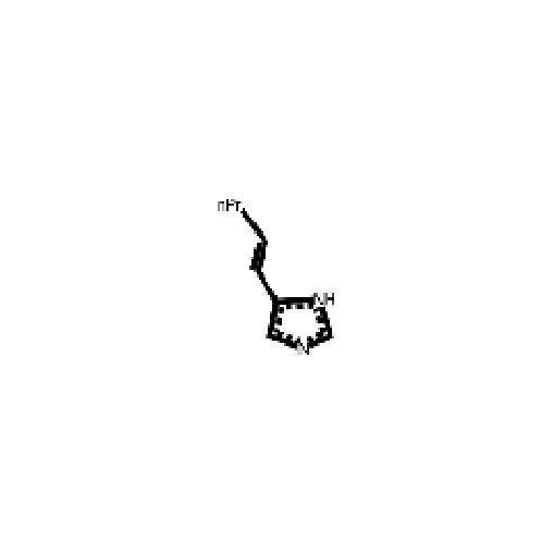 [CH2]CCC=Cc1cnc[nH]1